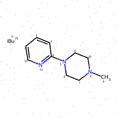 CC[C@H](C)c1ccc(N2CCN(C)CC2)nc1